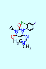 CN(C)/C=N\c1cc(=O)n(C2CC2)c(=O)n1-c1ccc(I)cc1F